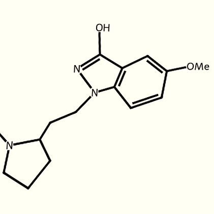 COc1ccc2c(c1)c(O)nn2CCC1CCCN1C